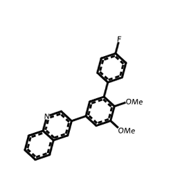 COc1cc(-c2cnc3ccccc3c2)cc(-c2ccc(F)cc2)c1OC